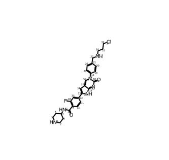 O=C(NC1CCNCC1)c1ccc(-c2cc3cn(-c4ccc(CNCCCCl)cc4)c(=O)nc3[nH]2)cc1F